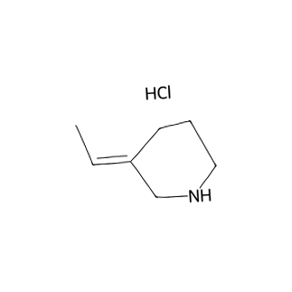 CC=C1CCCNC1.Cl